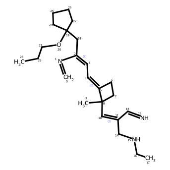 C=N/C(=C\C=C1/CCC1(C)/C=C(\C=N)CNCC)CC1(OCCC)CCCC1